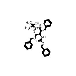 CC(C)(C)[S+]([O-])N[C@H](Cc1ccccn1)[C@H](COCc1ccccc1)NC(=O)OCc1ccccc1